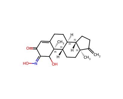 C=C1CC[C@H]2[C@@H]3CCC4=CC(=O)C(=NO)C(O)[C@]4(C)[C@H]3CC[C@]12C